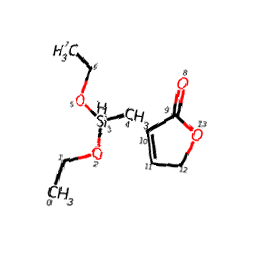 CCO[SiH](C)OCC.O=C1C=CCO1